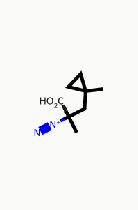 CC1(CC(C)([N+]#N)C(=O)O)CC1